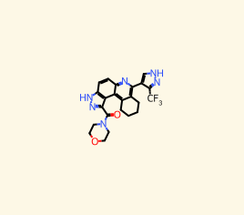 O=C(c1n[nH]c2ccc3nc(-c4c[nH]nc4C(F)(F)F)c4c(c3c12)CCCC4)N1CCOCC1